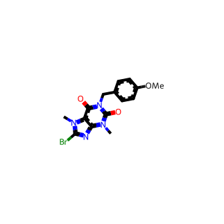 COc1ccc(Cn2c(=O)c3c(nc(Br)n3C)n(C)c2=O)cc1